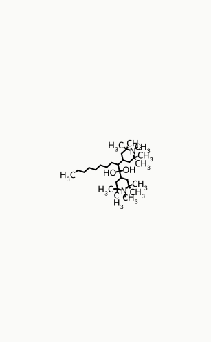 CCCCCCCCC(C1CC(C)(C)N(C)C(C)(C)C1)C(O)(O)C1CC(C)(C)N(C)C(C)(C)C1